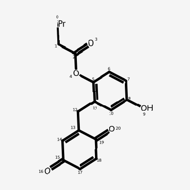 CC(C)CC(=O)Oc1ccc(O)cc1CC1=CC(=O)C=CC1=O